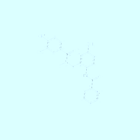 Bc1ccc(NC(=O)c2ccccn2)c(CN(C)C(=O)c2ccc(Cl)c(Cl)c2)c1